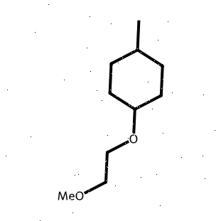 COCCOC1CCC(C)CC1